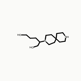 OCCCC(CO)N1CCC2(CCNCC2)CC1